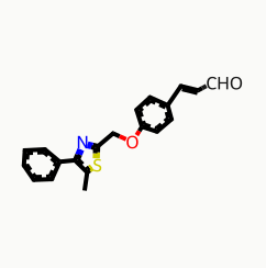 Cc1sc(COc2ccc(C=CC=O)cc2)nc1-c1ccccc1